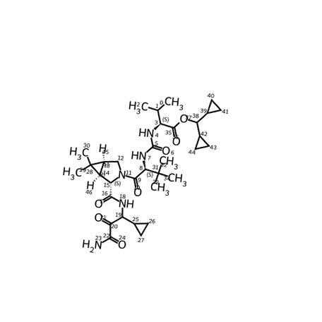 CC(C)[C@H](NC(=O)N[C@H](C(=O)N1C[C@H]2[C@@H]([C@H]1C(=O)NC(C(=O)C(N)=O)C1CC1)C2(C)C)C(C)(C)C)C(=O)OC(C1CC1)C1CC1